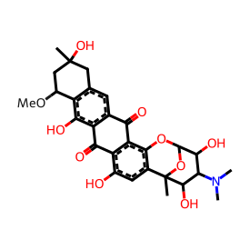 COC1CC(C)(O)Cc2cc3c(c(O)c21)C(=O)c1c(O)cc2c(c1C3=O)OC1OC2(C)C(O)C(N(C)C)C1O